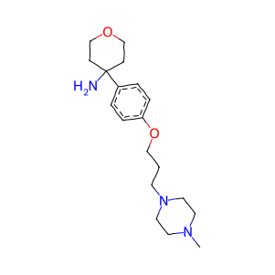 CN1CCN(CCCOc2ccc(C3(N)CCOCC3)cc2)CC1